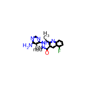 CCCCNC(=O)c1cc2c(F)cccc2nc1[C@H](C)Nc1ncnc(N)c1C#N